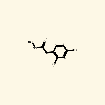 CC(C)(C)NC(=O)Cc1ccc(F)cc1Cl